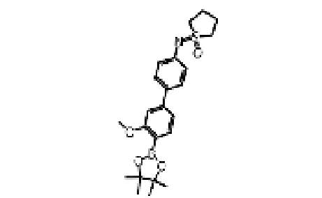 COc1cc(-c2ccc(N=S3(=O)CCCC3)cc2)ccc1B1OC(C)(C)C(C)(C)O1